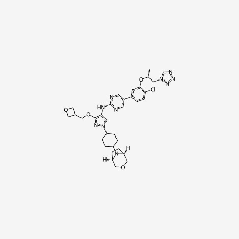 C[C@@H](Cn1cnnn1)Oc1cc(-c2cnc(Nc3cn(C4CCC(N5[C@@H]6CC[C@H]5COC6)CC4)nc3OCC3COC3)nc2)ccc1Cl